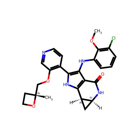 COc1c(Cl)cccc1Nc1c(-c2ccncc2OC[C@@]2(C)CCO2)[nH]c2c1C(=O)N[C@H]1C[C@@H]21